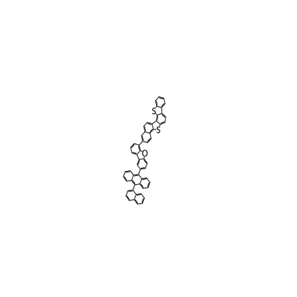 c1ccc2c(-c3c4ccccc4c(-c4ccc5oc6c(-c7ccc8c(ccc9c8sc8ccc%10c%11ccccc%11sc%10c89)c7)cccc6c5c4)c4ccccc34)cccc2c1